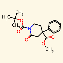 COC(=O)C1(c2ccccc2)CCN(C(=O)OC(C)(C)C)C(=O)C1